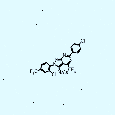 CNc1c2c(C(F)(F)F)cc(-c3ccc(Cl)cc3)nc2nn1-c1ccc(C(F)(F)F)cc1Cl